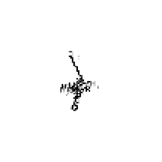 CCCCCCCCCCCCC[C@@H](CC(N)=O)N(C)C(=O)[C@H](CCCC(=O)OCc1ccccc1)NC(=O)OC(C)(C)C